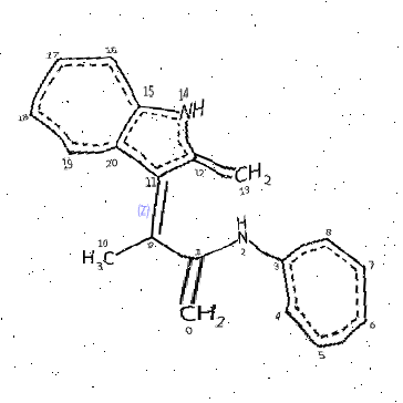 C=C(Nc1ccccc1)/C(C)=c1\c(=C)[nH]c2ccccc12